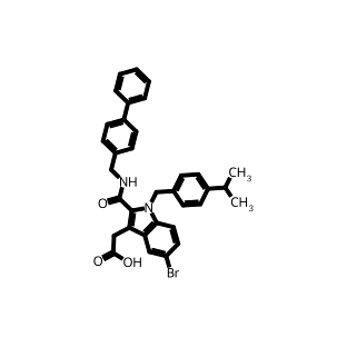 CC(C)c1ccc(Cn2c(C(=O)NCc3ccc(-c4ccccc4)cc3)c(CC(=O)O)c3cc(Br)ccc32)cc1